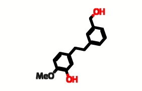 COc1ccc(CCc2cccc(CO)c2)cc1O